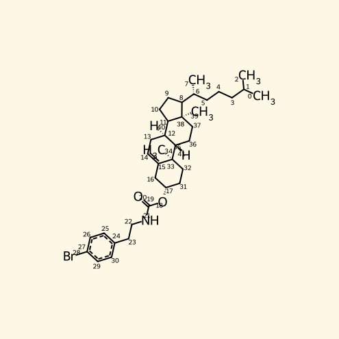 CC(C)CCC[C@@H](C)C1CCC2[C@@H]3CC=C4C[C@@H](OC(=O)NCCc5ccc(Br)cc5)CC[C@]4(C)[C@H]3CC[C@]12C